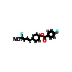 N#CC(F)=CC=C[C@H]1CC[C@H](OC(=O)c2ccc(F)cc2)CC1